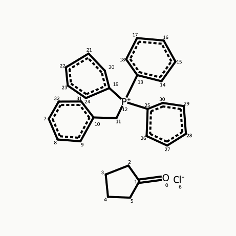 O=C1CCCC1.[Cl-].c1ccc(C[P+](c2ccccc2)(c2ccccc2)c2ccccc2)cc1